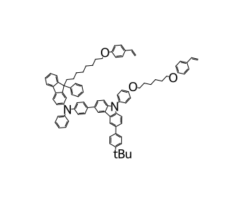 C=Cc1ccc(OCCCCCCCCC2(c3ccccc3)c3ccccc3-c3ccc(N(c4ccccc4)c4ccc(-c5ccc6c(c5)c5cc(-c7ccc(C(C)(C)C)cc7)ccc5n6-c5ccc(OCCCCCCOc6ccc(C=C)cc6)cc5)cc4)cc32)cc1